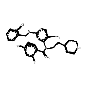 C=C(c1ccc(F)cc1Cl)N(CCC1CCNCC1)c1nc(NCc2ccccc2Cl)ncc1N